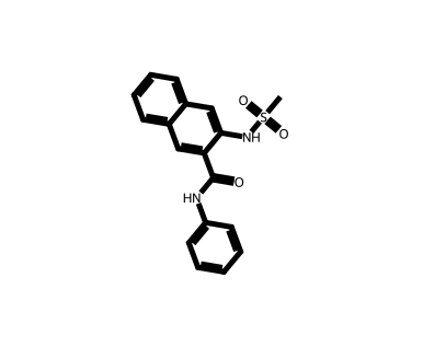 CS(=O)(=O)Nc1cc2ccccc2cc1C(=O)Nc1ccccc1